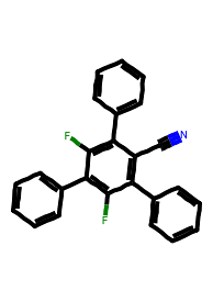 N#Cc1c(-c2ccccc2)c(F)c(-c2ccccc2)c(F)c1-c1ccccc1